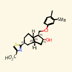 CSc1cc(OC[C@@H]2[C@H]3CC[C@H](c4nc(C(=O)O)cs4)C[C@H]3C[C@@H]2O)ccc1C